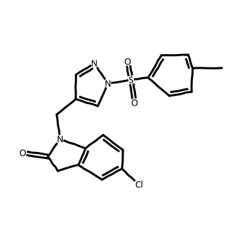 Cc1ccc(S(=O)(=O)n2cc(CN3C(=O)Cc4cc(Cl)ccc43)cn2)cc1